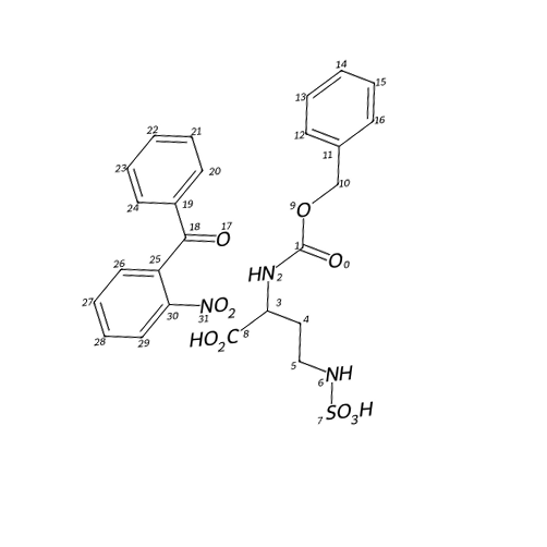 O=C(NC(CCNS(=O)(=O)O)C(=O)O)OCc1ccccc1.O=C(c1ccccc1)c1ccccc1[N+](=O)[O-]